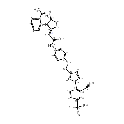 CC(C)c1ccccc1N1C(=O)CS/C1=N\C(=O)Nc1ccc(CCc2ncn(-c3ccc(C(F)(F)F)cc3C#N)n2)cc1